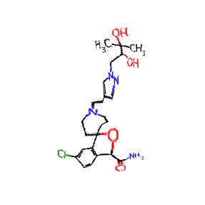 CC(C)(O)[C@@H](O)Cn1cc(CN2CCC3(CC2)OC(C(N)=O)c2ccc(Cl)cc23)cn1